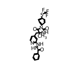 CC1(Cc2ccnc(NNC(=O)c3ccccc3)c2)NC(=O)N(c2ccc(SC(F)(F)F)cc2)C1=O